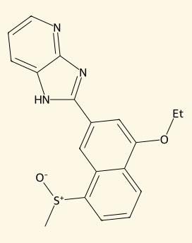 CCOc1cc(-c2nc3ncccc3[nH]2)cc2c([S+](C)[O-])cccc12